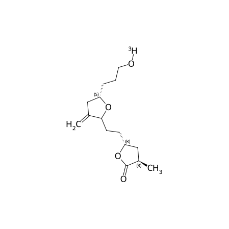 [3H]OCCC[C@H]1CC(=C)C(CC[C@@H]2C[C@@H](C)C(=O)O2)O1